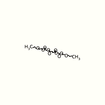 CCCCOCCOC(=O)COC(=O)/C=C/C(=O)OCC(=O)OCCOCCCC